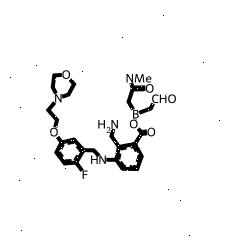 CNC(=O)CB(CC=O)OC(=O)c1cccc(NCc2cc(OCCN3CCOCC3)ccc2F)c1CN